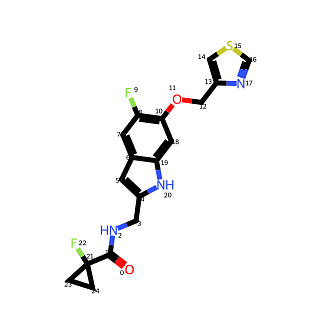 O=C(NCc1cc2cc(F)c(OCc3cscn3)cc2[nH]1)C1(F)CC1